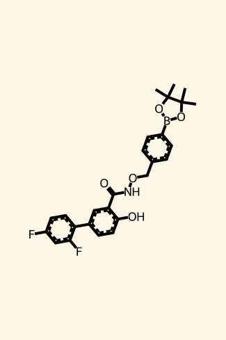 CC1(C)OB(c2ccc(CONC(=O)c3cc(-c4ccc(F)cc4F)ccc3O)cc2)OC1(C)C